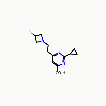 O=C(O)c1cc(CCN2CC(F)C2)nc(C2CC2)n1